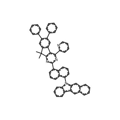 CC1(C)c2cc(-c3ccccc3)c(-c3ccccc3)cc2-c2c(-c3ccccn3)nc(-c3cccc4c(-n5c6ccccc6c6cc7ccccc7cc65)cccc34)nc21